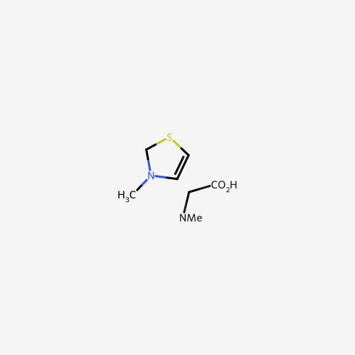 CN1C=CSC1.CNCC(=O)O